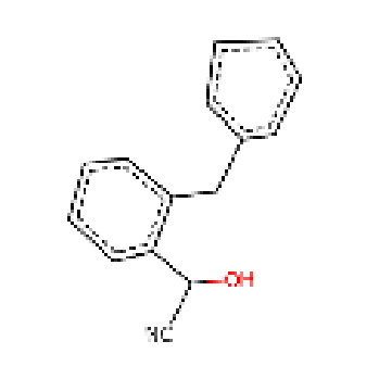 N#CC(O)c1ccccc1Cc1ccccc1